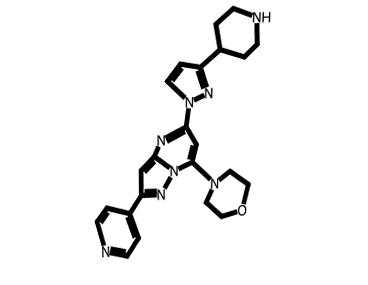 c1cc(-c2cc3nc(-n4ccc(C5CCNCC5)n4)cc(N4CCOCC4)n3n2)ccn1